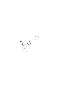 OC1NN=Cc2nc(-c3ccccc3)nc(Nc3ccc(OCCN4CCNCC4)cc3)c21